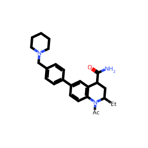 CCC1CC(C(N)=O)c2cc(-c3ccc(CN4CCCCC4)cc3)ccc2N1C(C)=O